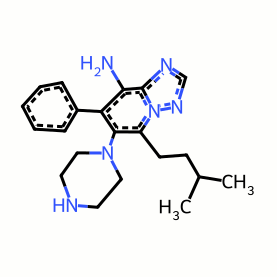 CC(C)CCc1c(N2CCNCC2)c(-c2ccccc2)c(N)c2ncnn12